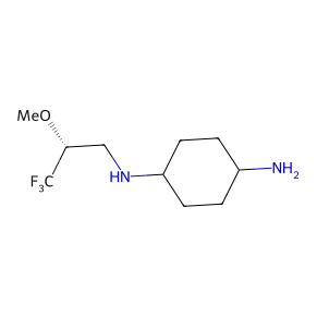 CO[C@H](CNC1CCC(N)CC1)C(F)(F)F